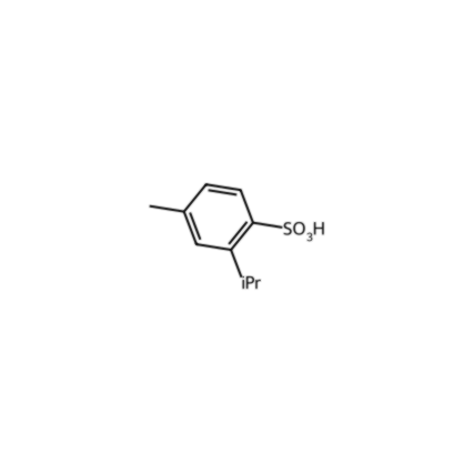 Cc1ccc(S(=O)(=O)O)c(C(C)C)c1